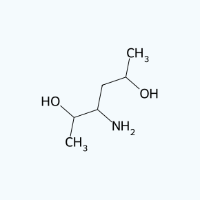 CC(O)CC(N)C(C)O